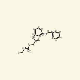 CCOC(=O)CCc1cc2c(OCc3ccccc3)cccc2o1